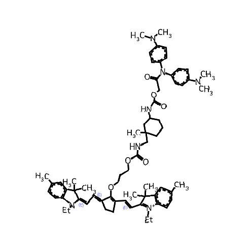 CCN1/C(=C/C=C2\CCC(/C=C/C3=[N+](CC)c4ccc(C)cc4C3(C)C)=C2OCCCOC(=O)NCC2(C)CCCC(NC(=O)OCC(=O)N(c3ccc(N(C)C)cc3)c3ccc(N(C)C)cc3)C2)C(C)(C)c2cc(C)ccc21